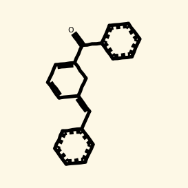 O=C(C1=CC=CC(=Cc2ccccc2)C1)c1ccccc1